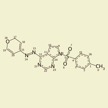 Cc1ccc(S(=O)(=O)n2ccc3c(N=NC4=CCOC=C4)ncnc32)cc1